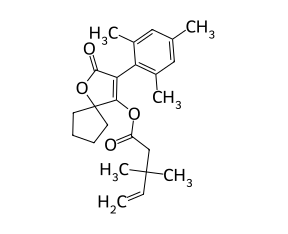 C=CC(C)(C)CC(=O)OC1=C(c2c(C)cc(C)cc2C)C(=O)OC12CCCC2